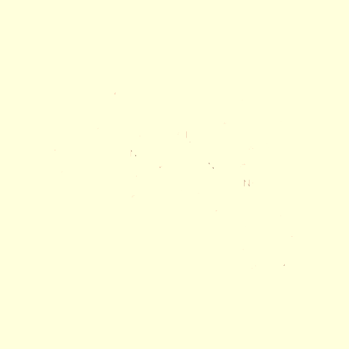 Bc1cccc2c3ccccc3n(-c3cccc(-c4cc(-c5ccccc5)nc(-c5ccccc5)n4)c3)c12